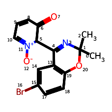 CC1(C)N=C(C2C(=O)C=CC=[N+]2[O-])c2cc(Br)ccc2O1